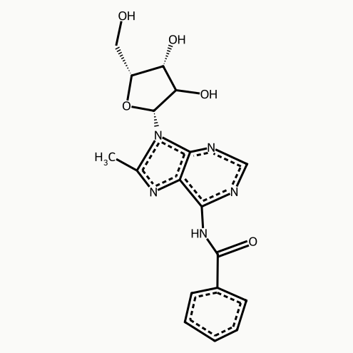 Cc1nc2c(NC(=O)c3ccccc3)ncnc2n1[C@@H]1O[C@H](CO)[C@H](O)C1O